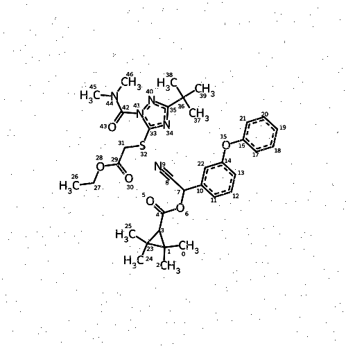 CC1(C)C(C(=O)OC(C#N)c2cccc(Oc3ccccc3)c2)C1(C)C.CCOC(=O)CSc1nc(C(C)(C)C)nn1C(=O)N(C)C